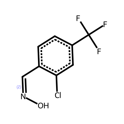 O/N=C\c1ccc(C(F)(F)F)cc1Cl